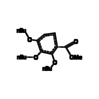 CCCCOc1ccc(C(=O)OC)c(OCCCC)c1OCCCC